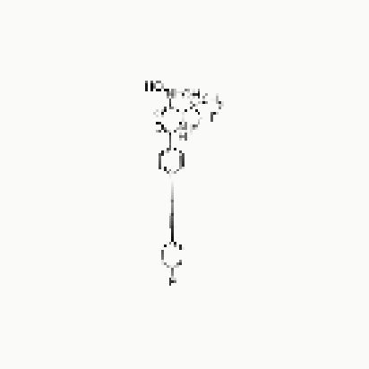 CC(O)(C(F)F)C(NC(=O)c1ccc(C#CC#Cc2ccc(F)cc2)cc1)C(=O)NO